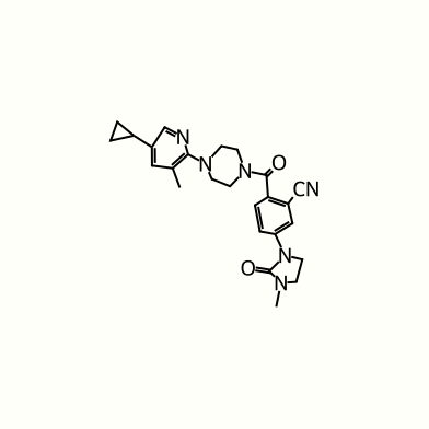 Cc1cc(C2CC2)cnc1N1CCN(C(=O)c2ccc(N3CCN(C)C3=O)cc2C#N)CC1